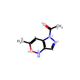 CC(=O)n1ncc2c1C=C(C)ON2